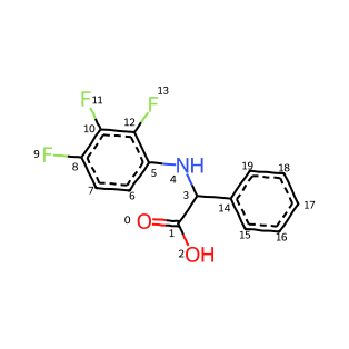 O=C(O)C(Nc1ccc(F)c(F)c1F)c1ccccc1